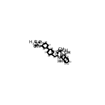 CC(C)(C)OC(O)N1C2CCC(CC2)[C@H]1C(=O)N[C@H](C#N)Cc1ccc(-c2cccc(NS(C)(=O)=O)c2)cc1